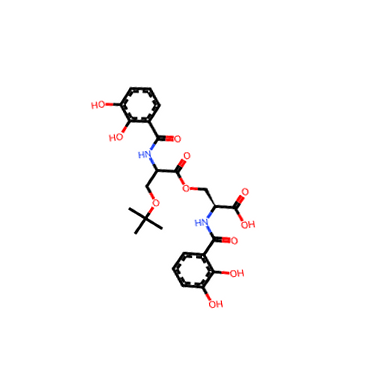 CC(C)(C)OCC(NC(=O)c1cccc(O)c1O)C(=O)OC[C@H](NC(=O)c1cccc(O)c1O)C(=O)O